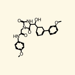 COc1ccc(NC(=O)CN2C(=O)NC(C(O)C3C=CC=C(c4cccc(OC)c4)C3)C2=O)cc1